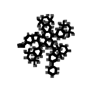 CC(C)(C)c1ccc2sc3c(c2c1)N(c1ccc2c(c1)C(C)(C)CCC2(C)C)c1cc(N2c4ccc(-c5ccccc5)cc4C4(C)CCCCC24C)cc2c1B3c1cc3c(cc1N2c1ccc2c(c1)C(C)(C)CCC2(C)C)C(C)(C)CCC3(C)C